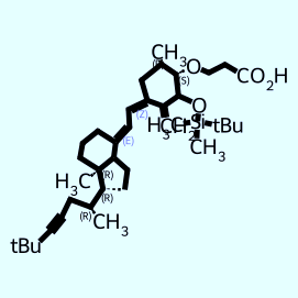 C=C1/C(=C\C=C2/CCC[C@@]3(C)C2CC[C@@H]3[C@H](C)CC#CC(C)(C)C)C[C@@H](C)[C@H](OCCC(=O)O)C1O[Si](C)(C)C(C)(C)C